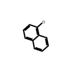 Clc1cccc2[c]cc[c]c12